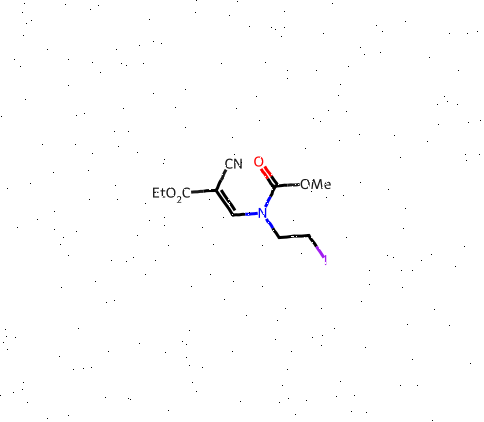 CCOC(=O)/C(C#N)=C/N(CCI)C(=O)OC